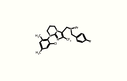 CCCN(Cc1ccc(F)cc1)Cc1c(C(F)(F)F)nc2n1CCCN2c1c(C)cc(C)cc1Cl